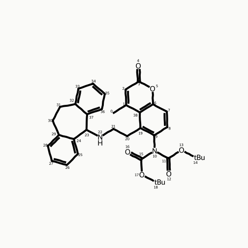 Cc1cc(=O)oc2ccc(N(C(=O)OC(C)(C)C)C(=O)OC(C)(C)C)c(CCNC3c4ccccc4CCc4ccccc43)c12